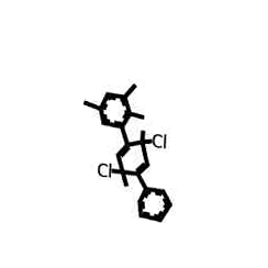 Cc1cc(C)c(C)c(C2=CC(C)(Cl)C(c3ccccc3)=CC2(C)Cl)c1